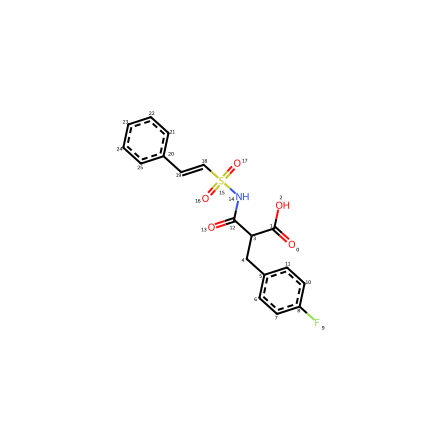 O=C(O)C(Cc1ccc(F)cc1)C(=O)NS(=O)(=O)C=Cc1ccccc1